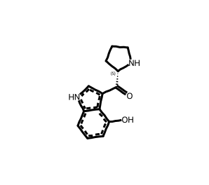 O=C(c1c[nH]c2cccc(O)c12)[C@@H]1CCCN1